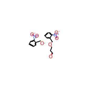 O=CCCOCc1ccccc1[N+](=O)[O-].[O]Cc1ccccc1[N+](=O)[O-]